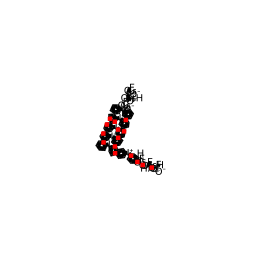 O=[AsH]([O-])F.O=[AsH]([O-])F.O=[AsH]([O-])F.O=[AsH]([O-])F.O=[AsH]([O-])F.O=[AsH]([O-])F.c1ccc([I+]c2ccccc2)cc1.c1ccc([I+]c2ccccc2)cc1.c1ccc([I+]c2ccccc2)cc1.c1ccc([I+]c2ccccc2)cc1.c1ccc([I+]c2ccccc2)cc1.c1ccc([I+]c2ccccc2)cc1